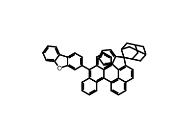 c1ccc2c(c1)-c1c(ccc3cccc(-c4c5ccccc5c(-c5ccc6c(c5)oc5ccccc56)c5ccccc45)c13)C21C2CC3CC(C2)CC1C3